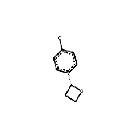 Clc1ccc([C@H]2CCO2)cc1